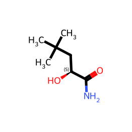 CC(C)(C)C[C@H](O)C(N)=O